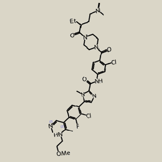 CCC(CCN(C)C)C(=O)N1CCN(C(=O)c2ccc(NC(=O)c3ncc(-c4ccc(C(/C=N\C)=C(\C)NCCOC)c(F)c4Cl)n3C)cc2Cl)CC1